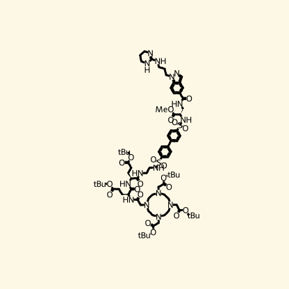 COC(=O)[C@H](CNC(=O)c1ccc2c(cnn2CCCNC2=NCCCN2)c1)NS(=O)(=O)c1ccc(-c2ccc(S(=O)(=O)NCCNC(=O)[C@H](CCC(=O)OC(C)(C)C)NC(=O)[C@H](CCC(=O)OC(C)(C)C)NC(=O)CN3CCN(CC(=O)OC(C)(C)C)CCN(CC(=O)OC(C)(C)C)CCN(CC(=O)OC(C)(C)C)CC3)cc2)cc1